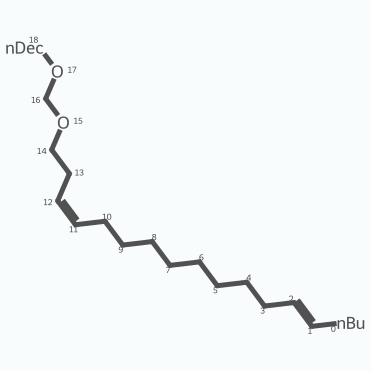 CCCC/C=C/CCCCCCCC/C=C\CCOCOCCCCCCCCCC